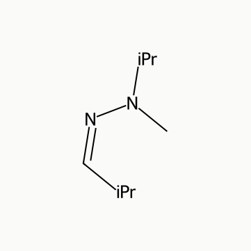 CC(C)/C=N\N(C)C(C)C